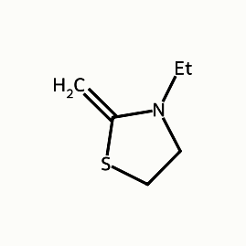 C=C1SCCN1CC